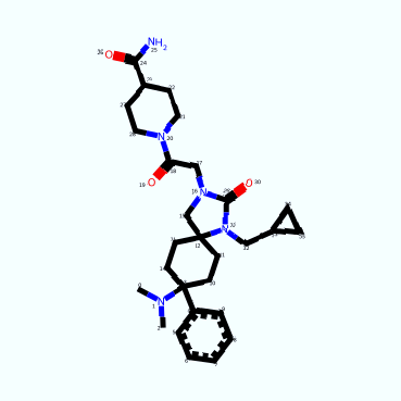 CN(C)C1(c2ccccc2)CCC2(CC1)CN(CC(=O)N1CCC(C(N)=O)CC1)C(=O)N2CC1CC1